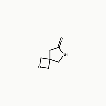 O=C1CC2([CH]OC2)CN1